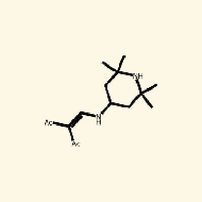 CC(=O)C(=CNC1CC(C)(C)NC(C)(C)C1)C(C)=O